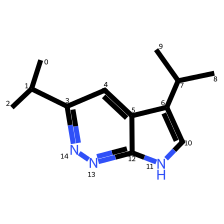 CC(C)c1cc2c(C(C)C)c[nH]c2nn1